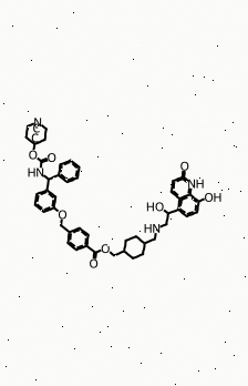 O=C(NC(c1ccccc1)c1cccc(OCc2ccc(C(=O)OCC3CCC(CNCC(O)c4ccc(O)c5[nH]c(=O)ccc45)CC3)cc2)c1)OC12CCN(CC1)CC2